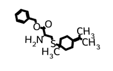 CC(C)=C1CCC(C)(SC[C@H](N)C(=O)OCc2ccccc2)CC1